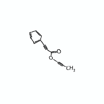 CC#COC(=O)C#Cc1ccccc1